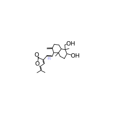 C=C1CCC2C(C)(CO)C(O)CCC2(C)C1/C=C/C1=CC(=C(C)C)OC1=O